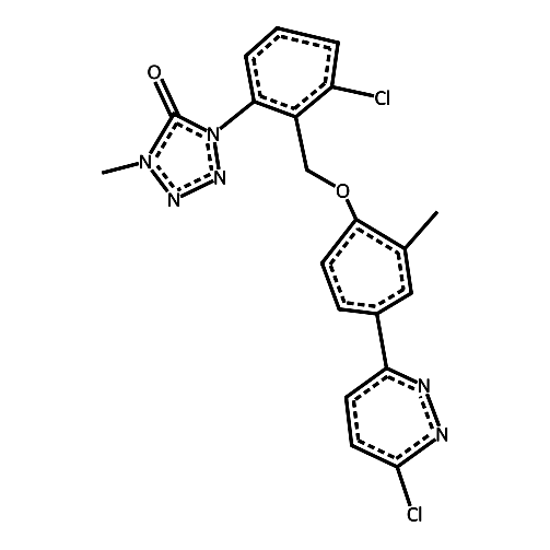 Cc1cc(-c2ccc(Cl)nn2)ccc1OCc1c(Cl)cccc1-n1nnn(C)c1=O